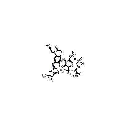 C#CCN1C(=O)COc2cc(F)c(/N=c3\snc4n3CC(C)(C)C4)cc21.CSc1nnc(C(C)(C)C)c(=O)n1N.O=C(O)CNCP(=O)(O)O